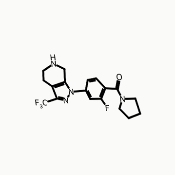 O=C(c1ccc(-n2nc(C(F)(F)F)c3c2CNCC3)cc1F)N1CCCC1